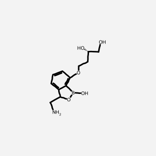 NCC1OB(O)c2c(OCC[C@H](O)CO)cccc21